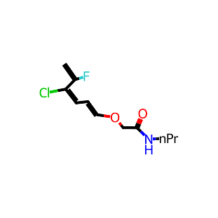 C=C(F)/C(Cl)=C\C=C\OCC(=O)NCCC